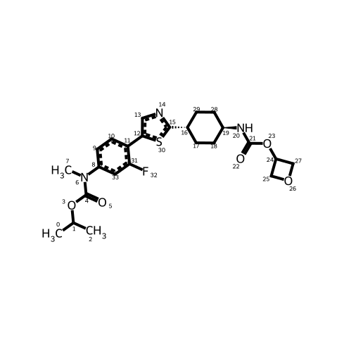 CC(C)OC(=O)N(C)c1ccc(-c2cnc([C@H]3CC[C@H](NC(=O)OC4COC4)CC3)s2)c(F)c1